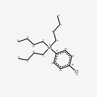 CCC[CH2][Sn]([CH2]CCC)([CH2]CCC)[c]1ccc(Cl)cc1